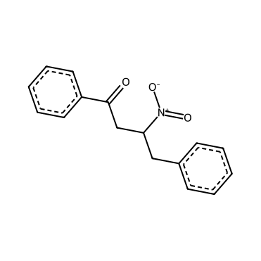 O=C(CC(Cc1ccccc1)[N+](=O)[O-])c1ccccc1